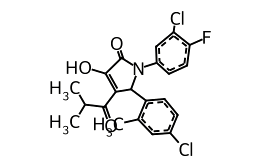 Cc1cc(Cl)ccc1C1C(C(=O)C(C)C)=C(O)C(=O)N1c1ccc(F)c(Cl)c1